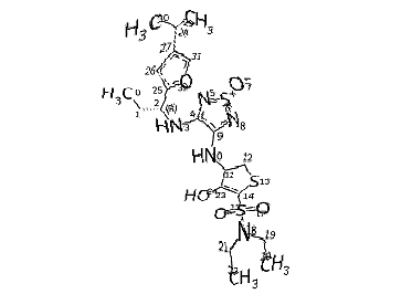 CC[C@@H](Nc1n[s+]([O-])nc1NC1CSC(S(=O)(=O)N(CC)CC)=C1O)c1cc(C(C)C)co1